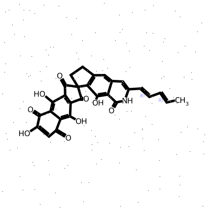 C/C=C/C=C/c1cc2cc3c(c(O)c2c(=O)[nH]1)C1(CC3)C(=O)c2c(O)c3c(c(O)c2C1=O)C(=O)C(O)=CC3=O